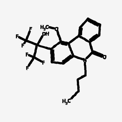 CCCCn1c(=O)c2ccccc2c2c(OC)c(C(O)(C(F)(F)F)C(F)(F)F)ccc21